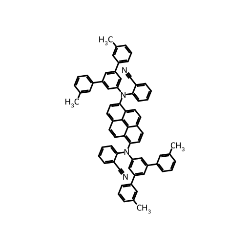 Cc1cccc(-c2cc(-c3cccc(C)c3)cc(N(c3ccccc3C#N)c3ccc4ccc5c(N(c6cc(-c7cccc(C)c7)cc(-c7cccc(C)c7)c6)c6ccccc6C#N)ccc6ccc3c4c65)c2)c1